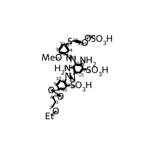 CCOCCCS(=O)(=O)c1ccc(N=Nc2cc(S(=O)(=O)O)c(N)c(N=Nc3cc(SC#COOS(=O)(=O)O)ccc3OC)c2N)c(S(=O)(=O)O)c1